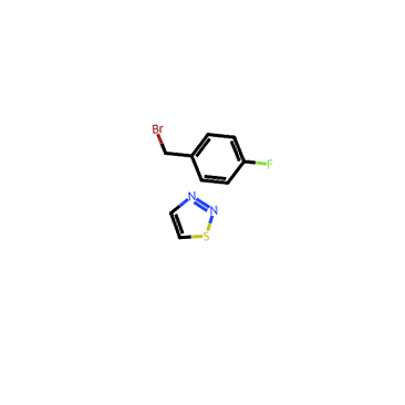 Fc1ccc(CBr)cc1.c1csnn1